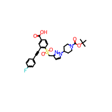 CC(C)(C)OC(=O)N1CCC(n2ccc(CS(=O)(=O)c3ccc(C(=O)O)cc3C#Cc3ccc(F)cc3)n2)CC1